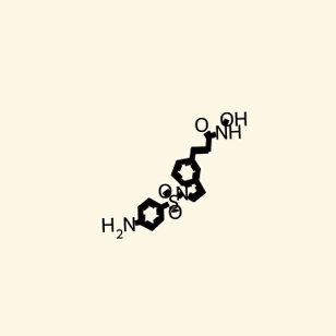 Nc1ccc(S(=O)(=O)n2ccc3cc(C=CC(=O)NO)ccc32)cc1